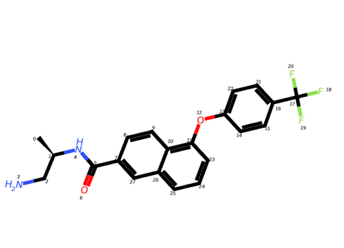 C[C@H](CN)NC(=O)c1ccc2c(Oc3ccc(C(F)(F)F)cc3)cccc2c1